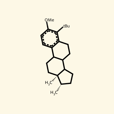 COc1ccc2c(c1C(C)(C)C)CCC1C2CC[C@@]2(C)C1CC[C@@H]2C